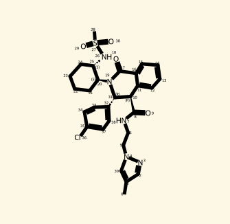 Cc1cnn(CCNC(=O)[C@@H]2c3ccccc3C(=O)N([C@H]3CCCC[C@@H]3NS(C)(=O)=O)[C@H]2c2ccc(Cl)cc2)c1